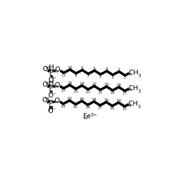 CCCCCCCCCCCCO[PH](=O)[O-].CCCCCCCCCCCCO[PH](=O)[O-].CCCCCCCCCCCCO[PH](=O)[O-].[Fe+3]